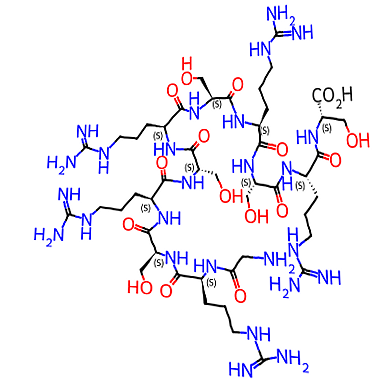 N=C(N)NCCC[C@H](NC(=O)CN)C(=O)N[C@@H](CO)C(=O)N[C@@H](CCCNC(=N)N)C(=O)N[C@@H](CO)C(=O)N[C@@H](CCCNC(=N)N)C(=O)N[C@@H](CO)C(=O)N[C@@H](CCCNC(=N)N)C(=O)N[C@@H](CO)C(=O)N[C@@H](CCCNC(=N)N)C(=O)N[C@@H](CO)C(=O)O